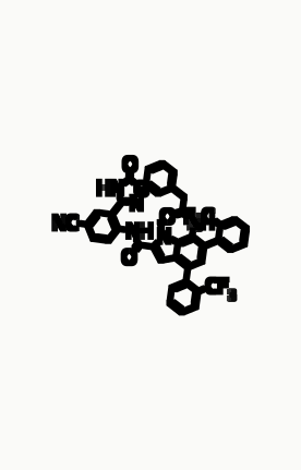 Cn1c(C(=O)Nc2ccc(C#N)cc2-c2noc(=O)[nH]2)cc2c(-c3ccccc3C(F)(F)F)cc(-c3ccccc3C(F)(F)F)c(NC(=O)Cc3ccccc3)c21